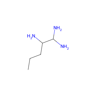 CCCC(N)C(N)N